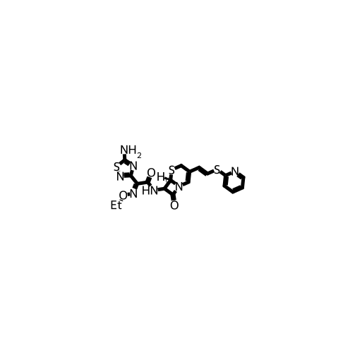 CCON=C(C(=O)NC1C(=O)N2C=C(C=CSc3ccccn3)CS[C@@H]12)c1nsc(N)n1